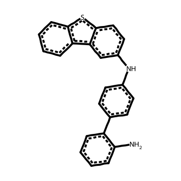 Nc1ccccc1-c1ccc(Nc2ccc3sc4ccccc4c3c2)cc1